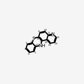 c1ccc2c(c1)Nc1c(ccc3ncccc13)S2